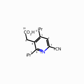 CC(C)c1cc(C#N)nc(C(C)C)c1CC(=O)O